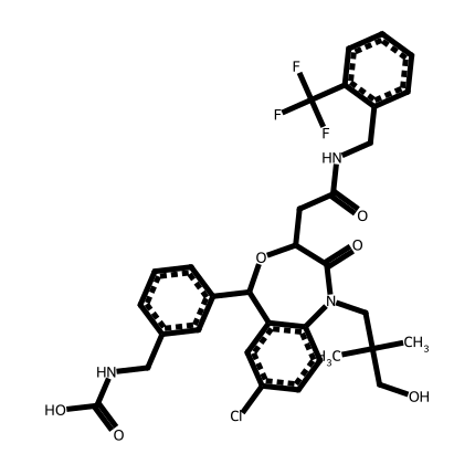 CC(C)(CO)CN1C(=O)C(CC(=O)NCc2ccccc2C(F)(F)F)OC(c2cccc(CNC(=O)O)c2)c2cc(Cl)ccc21